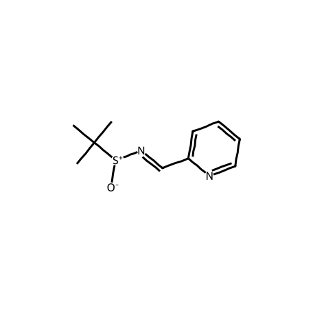 CC(C)(C)[S+]([O-])N=Cc1ccccn1